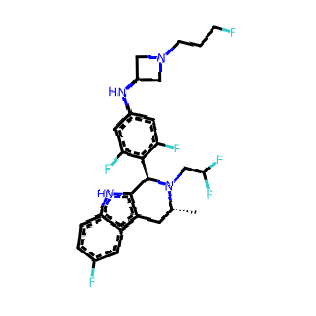 C[C@@H]1Cc2c([nH]c3ccc(F)cc23)[C@@H](c2c(F)cc(NC3CN(CCCF)C3)cc2F)N1CC(F)F